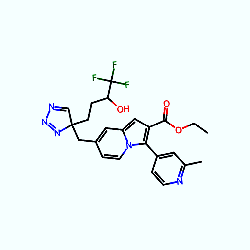 CCOC(=O)c1cc2cc(CC3(CCC(O)C(F)(F)F)C=NN=N3)ccn2c1-c1ccnc(C)c1